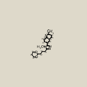 Cc1ccc2cc(-c3nnc(CCCC4OCCCO4)n3C)ccc2n1